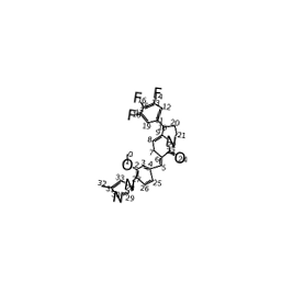 COc1cc(C=C2CC=C3C(c4cc(F)c(F)c(F)c4)CCN3C2=O)ccc1-n1cnc(C)c1